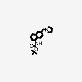 CC(C)(C)OC(=O)Nc1cccc2cc(CN3CCCC3)ccc12